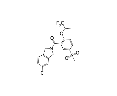 CC(Oc1ccc(S(C)(=O)=O)cc1C(=O)N1Cc2ccc(Cl)cc2C1)C(F)(F)F